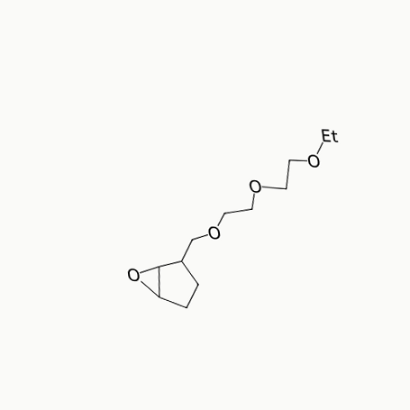 CCOCCOCCOCC1CCC2OC12